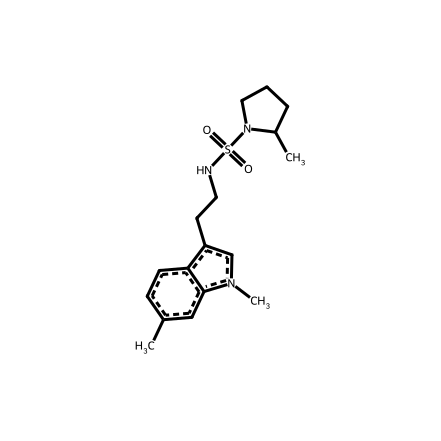 Cc1ccc2c(CCNS(=O)(=O)N3CCCC3C)cn(C)c2c1